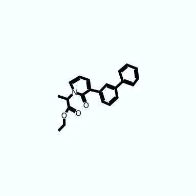 CCOC(=O)C(C)n1cccc(-c2cccc(-c3ccccc3)c2)c1=O